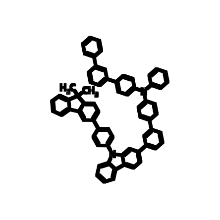 CC1(C)c2ccccc2-c2cc(-c3ccc(-n4c5ccccc5c5ccc(-c6cccc(-c7ccc(N(c8ccccc8)c8ccc(-c9cccc(-c%10ccccc%10)c9)cc8)cc7)c6)cc54)cc3)ccc21